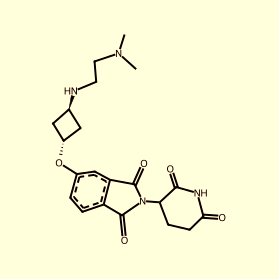 CN(C)CCN[C@H]1C[C@H](Oc2ccc3c(c2)C(=O)N(C2CCC(=O)NC2=O)C3=O)C1